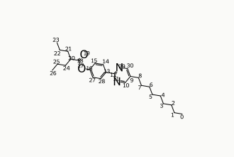 CCCCCCCCCc1cnc(-c2ccc(OC(=O)C(CCC)CCC)cc2)nc1